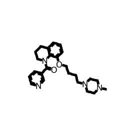 CN1CCN(CCCCOc2cccc3c2N(C(=O)c2cccnc2)CCC3)CC1